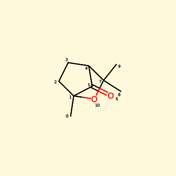 CC12CCC(C1=O)C(C)(C)O2